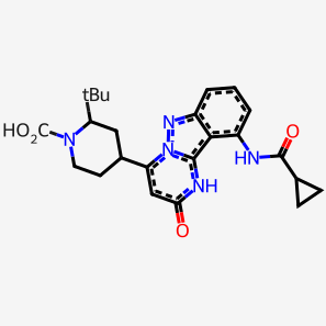 CC(C)(C)C1CC(c2cc(=O)[nH]c3c4c(NC(=O)C5CC5)cccc4nn23)CCN1C(=O)O